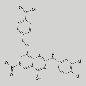 O=C(O)c1ccc(/C=C/c2cc([N+](=O)[O-])cc3c(O)nc(Nc4ccc(Cl)c(Cl)c4)nc23)cc1